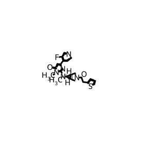 CN(c1nc(-c2ccncc2F)cc(=O)n1C)[C@@H]1[C@@H]2CN(C(=O)Cc3cccs3)C[C@@H]21